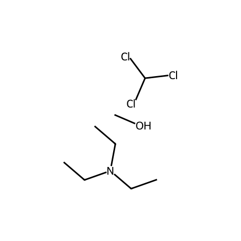 CCN(CC)CC.CO.ClC(Cl)Cl